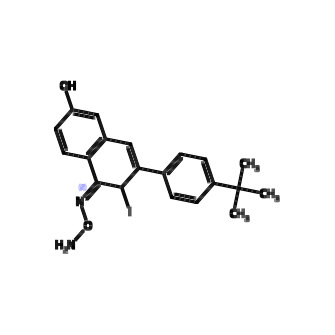 CC(C)(C)c1ccc(C2=Cc3cc(O)ccc3/C(=N/ON)C2I)cc1